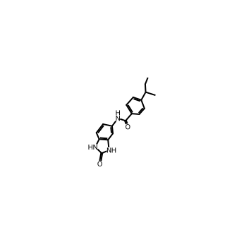 CCC(C)c1ccc(C(=O)Nc2ccc3[nH]c(=O)[nH]c3c2)cc1